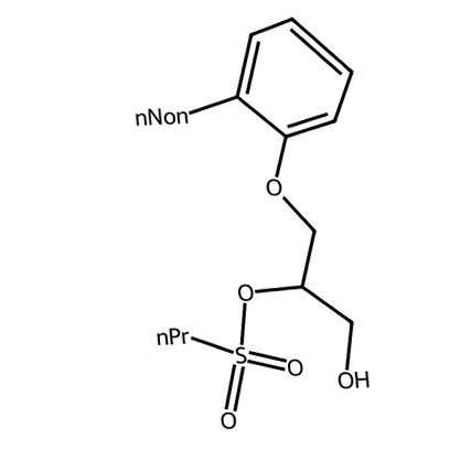 CCCCCCCCCc1ccccc1OCC(CO)OS(=O)(=O)CCC